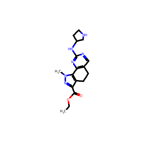 CCOC(=O)c1nn(C)c2c1CCc1cnc(NC3CCNC3)nc1-2